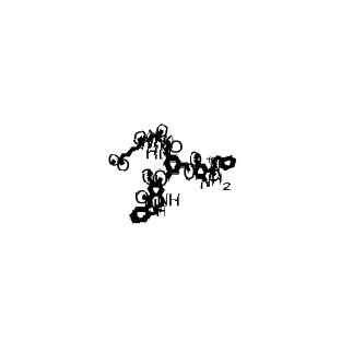 COC(=O)CCCCC(=O)N[C@@H](C)C(=O)N[C@@H](C)C(=O)Nc1cc(COc2cc(N)c(C(=O)N3c4ccccc4C[C@H]3C)cc2OC)cc(COc2cc3c(cc2OC)C(=O)N2c4ccccc4C[C@H]2CN3)c1